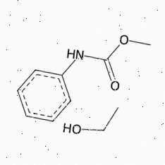 CCO.COC(=O)Nc1ccccc1